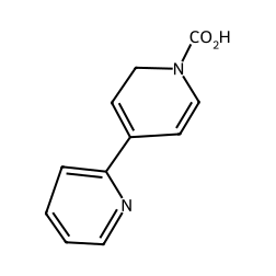 O=C(O)N1C=CC(c2ccccn2)=CC1